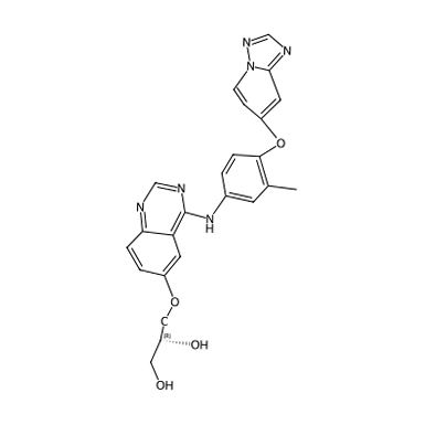 Cc1cc(Nc2ncnc3ccc(OC[C@H](O)CO)cc23)ccc1Oc1ccn2ncnc2c1